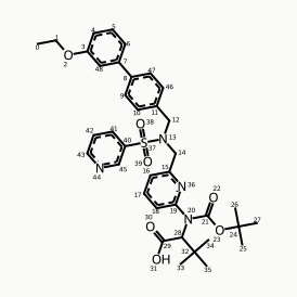 CCOc1cccc(-c2ccc(CN(Cc3cccc(N(C(=O)OC(C)(C)C)C(C(=O)O)C(C)(C)C)n3)S(=O)(=O)c3cccnc3)cc2)c1